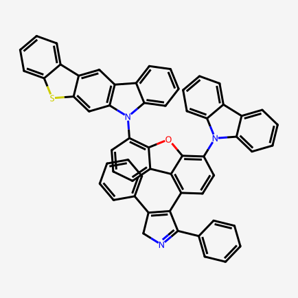 c1ccc(C2=NCC(c3ccccc3)=C2c2ccc(-n3c4ccccc4c4ccccc43)c3oc4c(-n5c6ccccc6c6cc7c(cc65)sc5ccccc57)cccc4c23)cc1